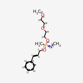 CN=P(C)(OC/C=C/c1ccccc1)OCCOCCOC